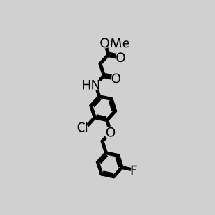 COC(=O)CC(=O)Nc1ccc(OCc2cccc(F)c2)c(Cl)c1